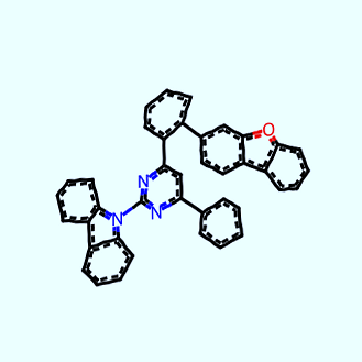 c1ccc(-c2cc(-c3ccccc3-c3ccc4c(c3)oc3ccccc34)nc(-n3c4ccccc4c4ccccc43)n2)cc1